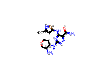 Cc1cc(Nc2nc(N[C@@H]3CCOC[C@@H]3N)nnc2C(N)=O)sn1